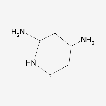 NC1C[CH]NC(N)C1